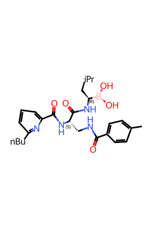 CCCCc1cccc(C(=O)N[C@@H](CNC(=O)c2ccc(C)cc2)C(=O)N[C@@H](CC(C)C)B(O)O)n1